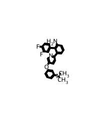 CN(C)c1cccc(Oc2ccc(-c3cccc(N)c3-c3ccc(F)c(F)c3)nc2)c1